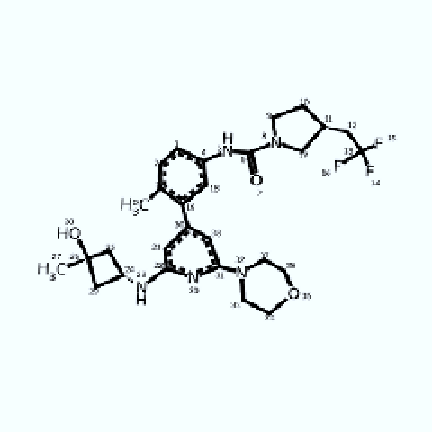 Cc1ccc(NC(=O)N2CC[C@@H](CC(F)(F)F)C2)cc1-c1cc(N[C@H]2C[C@@](C)(O)C2)nc(N2CCOCC2)c1